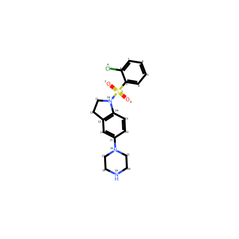 O=S(=O)(c1ccccc1Cl)N1CCc2cc(N3CCNCC3)ccc21